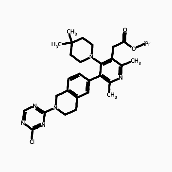 Cc1nc(C)c(-c2ccc3c(c2)CCN(c2ncnc(Cl)n2)C3)c(N2CCC(C)(C)CC2)c1CC(=O)OC(C)C